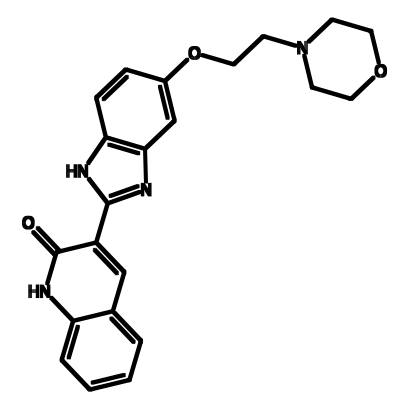 O=c1[nH]c2ccccc2cc1-c1nc2cc(OCCN3CCOCC3)ccc2[nH]1